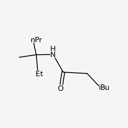 CCCC(C)(CC)NC(=O)CC(C)CC